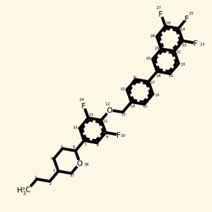 CCCC1CCC(c2cc(F)c(OCc3ccc(-c4ccc5c(F)c(F)c(F)cc5c4)cc3)c(F)c2)OC1